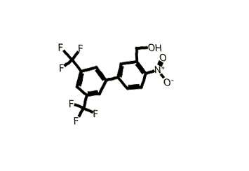 O=[N+]([O-])c1ccc(-c2cc(C(F)(F)F)cc(C(F)(F)F)c2)cc1CO